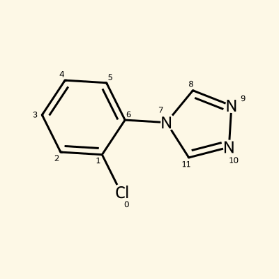 Clc1ccccc1-n1cnnc1